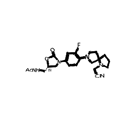 CC(=O)NC[C@H]1CN(c2ccc(N3CCC4(CCCN4CC#N)C3)c(F)c2)C(=O)O1